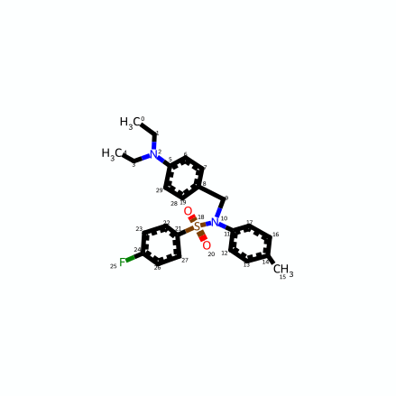 CCN(CC)c1ccc(CN(c2ccc(C)cc2)S(=O)(=O)c2ccc(F)cc2)cc1